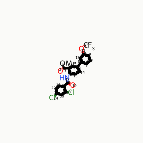 COC(=O)c1cc(-c2cccc(OC(F)(F)F)c2)ccc1NC(=O)c1ccc(Cl)cc1Cl